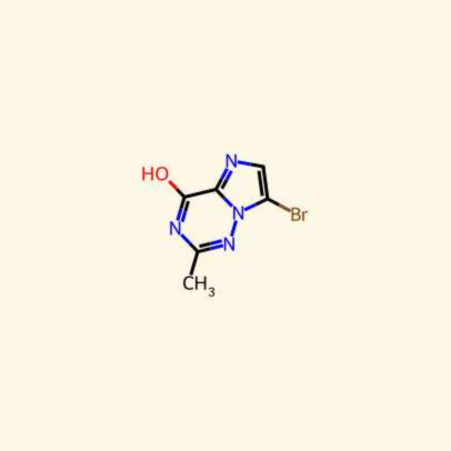 Cc1nc(O)c2ncc(Br)n2n1